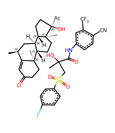 CC(=O)[C@@]1(O)CC[C@H]2[C@@H]3C[C@H](C)C4=CC(=O)CC[C@]4(C)[C@H]3CC[C@@]21C.CC(O)(CS(=O)(=O)c1ccc(F)cc1)C(=O)Nc1ccc(C#N)c(C(F)(F)F)c1